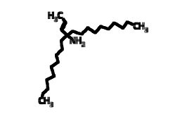 CC=CC(N)(CCCCCCCCCC)CCCCCCCCCC